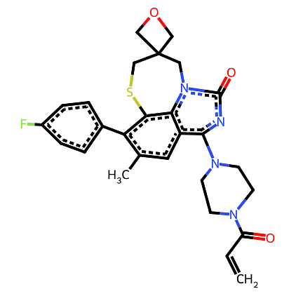 C=CC(=O)N1CCN(c2nc(=O)n3c4c(c(-c5ccc(F)cc5)c(C)cc24)SCC2(COC2)C3)CC1